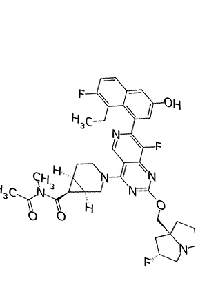 CCc1c(F)ccc2cc(O)cc(-c3ncc4c(N5CC[C@H]6[C@@H](C5)[C@H]6C(=O)N(C)C(C)=O)nc(OC[C@@]56CCCN5C[C@H](F)C6)nc4c3F)c12